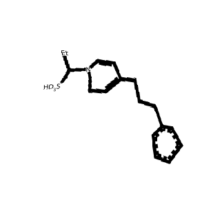 CCC(N1C=CC(CCCc2ccccc2)=CC1)S(=O)(=O)O